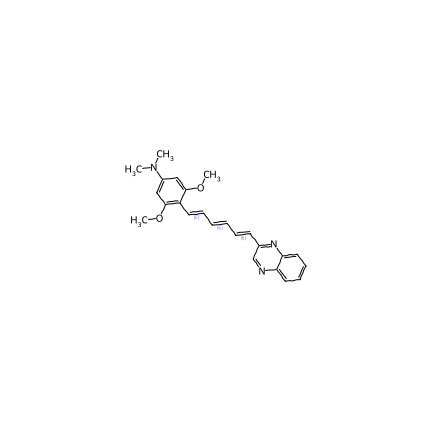 COc1cc(N(C)C)cc(OC)c1/C=C/C=C/C=C/c1cnc2ccccc2n1